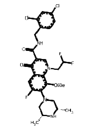 COc1c(N2C[C@@H](C)N[C@@H](C)C2)c(F)cc2c(=O)c(C(=O)NCc3ccc(Cl)cc3Cl)cn(CC(F)F)c12